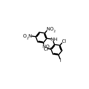 O=[N+]([O-])c1cc([N+](=O)[O-])c(Nc2c(Cl)cc(I)cc2Cl)c([N+](=O)[O-])c1